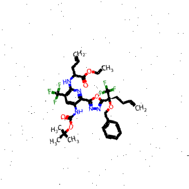 C=CCC[C@@](OCc1ccccc1)(c1nnc(-c2nc(NC(CC=C)C(=O)OCC)c(C(F)(F)F)cc2NC(=O)OC(C)(C)C)o1)C(F)(F)F